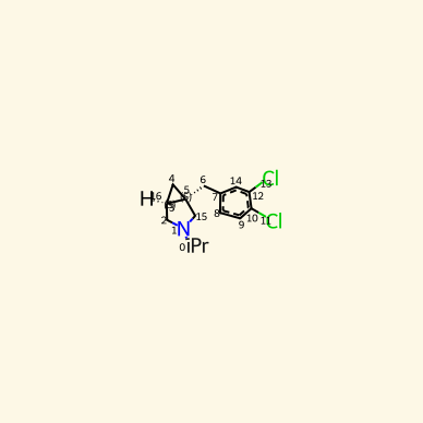 CC(C)N1C[C@H]2C[C@@]2(Cc2ccc(Cl)c(Cl)c2)C1